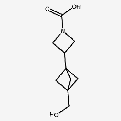 O=C(O)N1CC(C23CC(CO)(C2)C3)C1